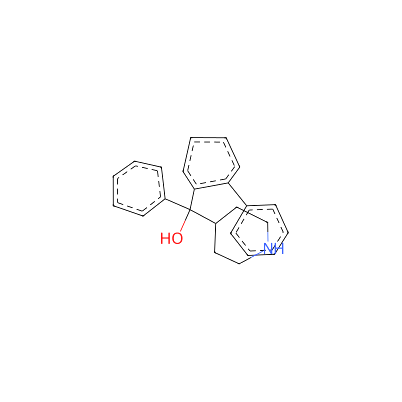 OC(c1ccccc1)(c1ccccc1-c1ccccc1)C1CCNCC1